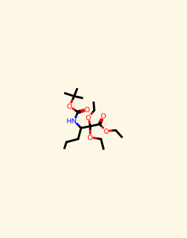 CCCC(NC(=O)OC(C)(C)C)C(OCC)(OCC)C(=O)OCC